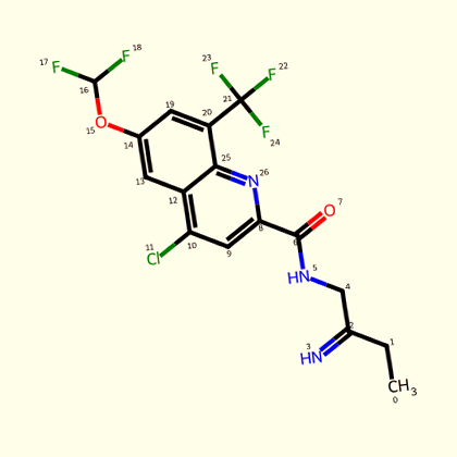 CCC(=N)CNC(=O)c1cc(Cl)c2cc(OC(F)F)cc(C(F)(F)F)c2n1